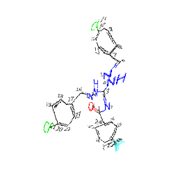 O=C(N=C(NN=Cc1ccc(Cl)cc1)NN=Cc1ccc(Cl)cc1)c1ccc(F)cc1